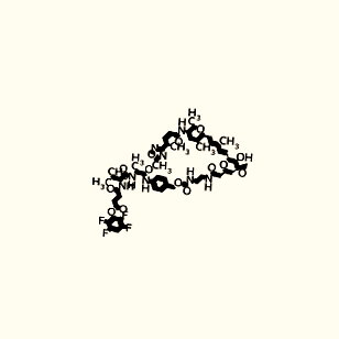 CC(/C=C/[C@H]1O[C@H](CC(=O)NCCNC(=O)OCc2ccc(NC(=O)[C@H](C)NC(=O)[C@@H](NC(=O)CCC(=O)Oc3c(F)c(F)cc(F)c3F)C(C)C)cc2)C[C@@]2(CO2)[C@@H]1O)=C\C[C@@H]1O[C@H](C)[C@H](NC(=O)/C=C\[C@@H](C)c2noc(C)n2)C[C@@H]1C